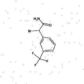 NC(=O)C(Br)c1cccc(C(F)(F)F)c1